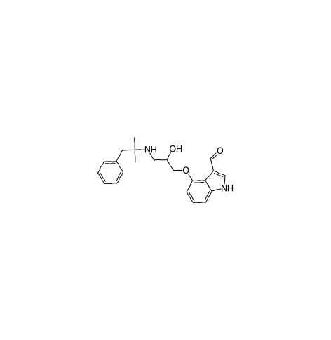 CC(C)(Cc1ccccc1)NCC(O)COc1cccc2[nH]cc(C=O)c12